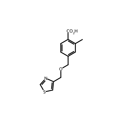 Cc1cc(COCc2cscn2)ccc1C(=O)O